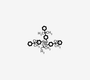 CC(C)[O][Ti]([O]c1ccc(C(C)(C)c2ccccc2)cc1)([O]c1ccc(C(C)(C)c2ccccc2)cc1)[O]c1ccc(C(C)(C)c2ccccc2)cc1